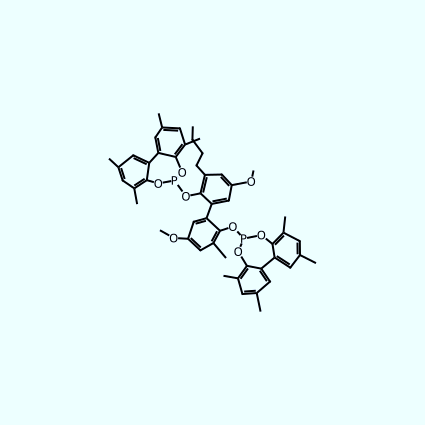 CCCCc1cc(OC)cc(-c2cc(OC)cc(C)c2Op2oc3c(C)cc(C)cc3c3cc(C)cc(C)c3o2)c1Op1oc2c(C)cc(C)cc2c2cc(C)cc(C)c2o1